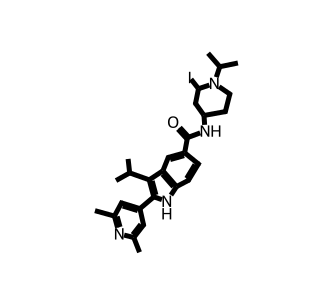 Cc1cc(-c2[nH]c3ccc(C(=O)NC4CCN(C(C)C)C(I)C4)cc3c2C(C)C)cc(C)n1